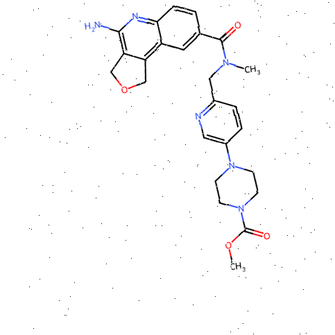 COC(=O)N1CCN(c2ccc(CN(C)C(=O)c3ccc4nc(N)c5c(c4c3)COC5)nc2)CC1